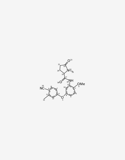 COc1ccc(Oc2ccc(C#N)c(C)c2)cc1NC(=O)C1CCC(=O)N1C